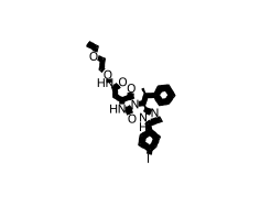 C=COCCONC(=O)CC1NC(=O)N([C@H](c2ncc(-c3ccc(I)cc3)[nH]2)[C@@H](C)c2ccccc2)C1=O